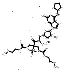 COCCOC(=O)OCC(COC(=O)OCCOC)(C(=O)N(C)C[C@H]1O[C@@H](n2cnc3c(NC4CCCC4)nc(Cl)nc32)[C@H](O)[C@@H]1O)P(=O)(O)O